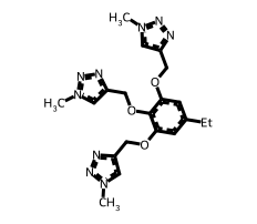 CCc1cc(OCc2cn(C)nn2)c(OCc2cn(C)nn2)c(OCc2cn(C)nn2)c1